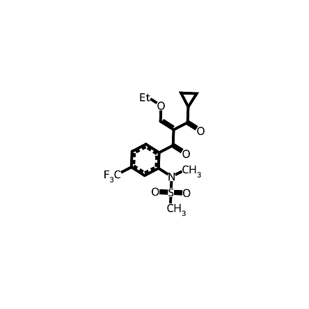 CCOC=C(C(=O)c1ccc(C(F)(F)F)cc1N(C)S(C)(=O)=O)C(=O)C1CC1